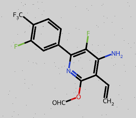 C=Cc1c(OC=O)nc(-c2ccc(C(F)(F)F)c(F)c2)c(F)c1N